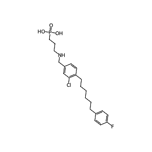 O=P(O)(O)CCCNCc1ccc(CCCCCCc2ccc(F)cc2)c(Cl)c1